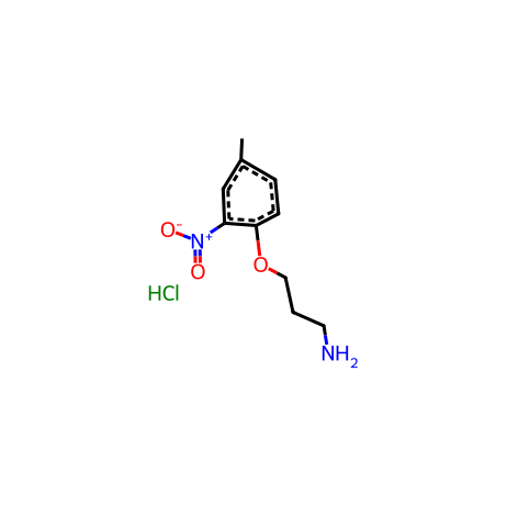 Cc1ccc(OCCCN)c([N+](=O)[O-])c1.Cl